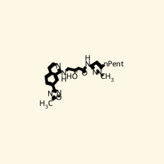 CCCCCc1cc(NC(=O)C[C@H](O)CNc2nccc3ccc(-c4noc(C)n4)cc23)nn1C